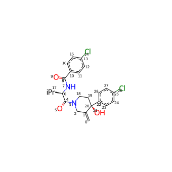 C=C1CN(C(=O)[C@H](NC(=O)c2ccc(Cl)cc2)C(C)C)CC[C@]1(O)c1ccc(Cl)cc1